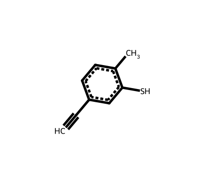 C#Cc1ccc(C)c(S)c1